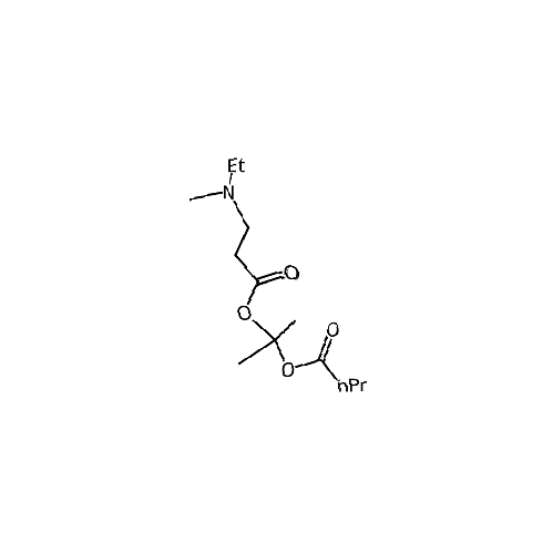 CCCC(=O)OC(C)(C)OC(=O)CCN(C)CC